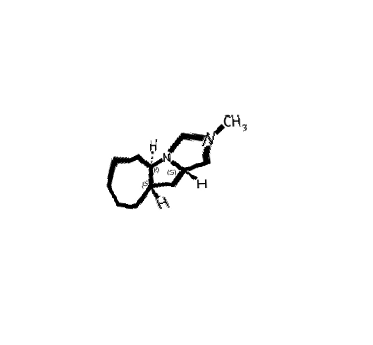 CN1C[C@@H]2C[C@@H]3CCCCC[C@H]3N2C1